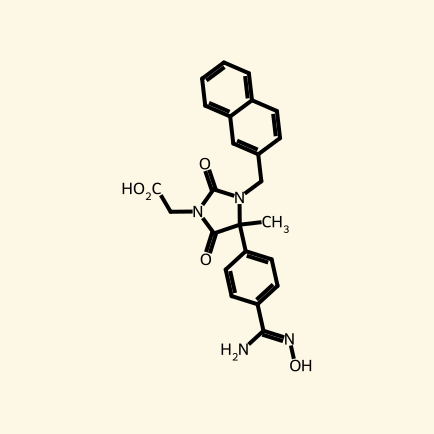 CC1(c2ccc(C(N)=NO)cc2)C(=O)N(CC(=O)O)C(=O)N1Cc1ccc2ccccc2c1